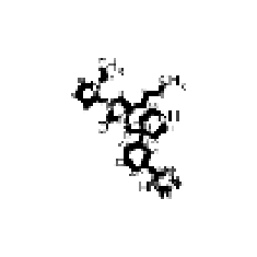 CCCCc1cn(-c2cccn2CC)c(=O)n1CC1(c2cccc(-c3nnn[nH]3)c2)C=CNC=C1